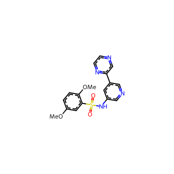 COc1ccc(OC)c(S(=O)(=O)Nc2cncc(-c3cnccn3)c2)c1